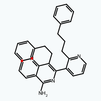 Nc1nc(-c2cccnc2CCCc2ccccc2)c(CCc2ccccc2)c2ncccc12